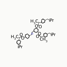 CC(C)Cc1ccc(C(C)C(=O)Oc2cc(/C=C/c3ccc(OC(=O)C(C)c4ccc(C(C)C)cc4)cc3)cc(OC(=O)C(C)c3ccc(CC(C)C)cc3)c2)cc1